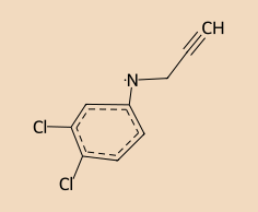 C#CC[N]c1ccc(Cl)c(Cl)c1